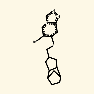 Brc1cn2cnnc2cc1OCC1CC2C3CCC(C3)C2C1